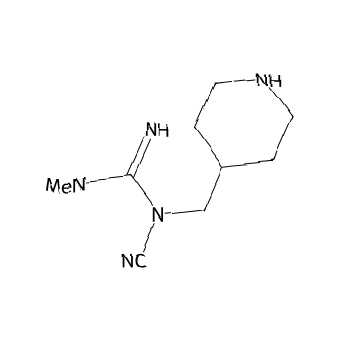 CNC(=N)N(C#N)CC1CCNCC1